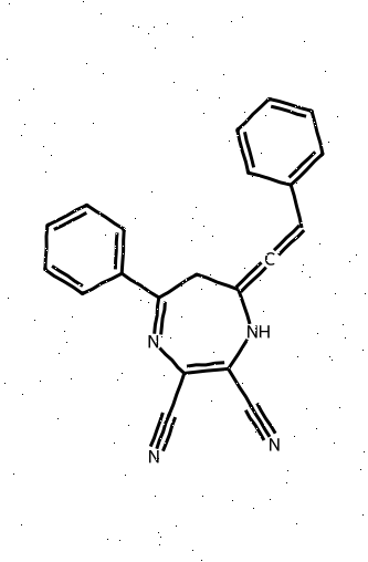 N#CC1=C(C#N)NC(=C=Cc2ccccc2)CC(c2ccccc2)=N1